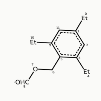 CCc1cc(CC)c(CO[C]=O)c(CC)c1